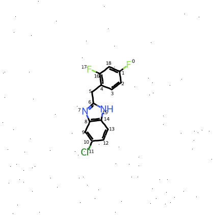 Fc1ccc(Cc2nc3cc(Cl)ccc3[nH]2)c(F)c1